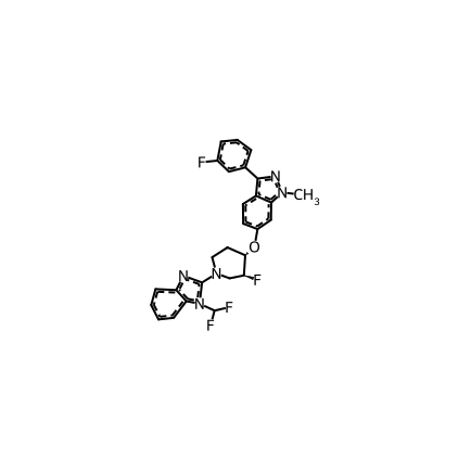 Cn1nc(-c2cccc(F)c2)c2ccc(O[C@H]3CCN(c4nc5ccccc5n4C(F)F)C[C@@H]3F)cc21